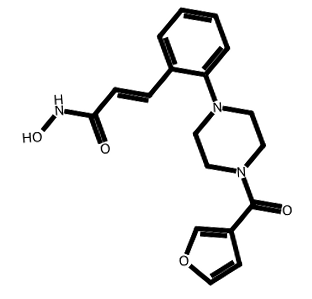 O=C(C=Cc1ccccc1N1CCN(C(=O)c2ccoc2)CC1)NO